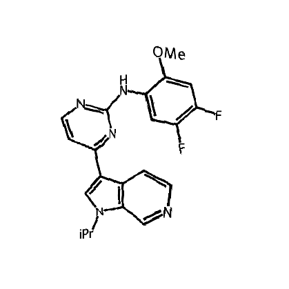 COc1cc(F)c(F)cc1Nc1nccc(-c2cn(C(C)C)c3cnccc23)n1